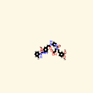 COc1cc(CC(=O)NC2CCN(C(=O)N(CCC(=O)O)CCc3ccc(OC)c(OC)c3)C2)ccc1NC(=O)Nc1ccccc1C